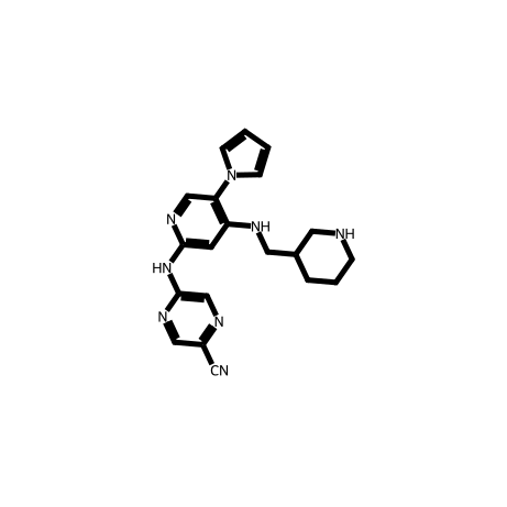 N#Cc1cnc(Nc2cc(NCC3CCCNC3)c(-n3cccc3)cn2)cn1